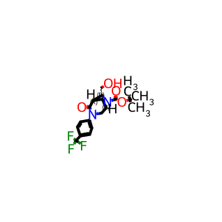 CC(C)(C)OC(=O)N1[C@@H]2C[C@@H](C(=O)N(c3ccc(C(F)(F)F)cc3)C2)[C@@H]1CO